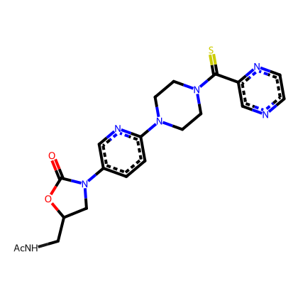 CC(=O)NCC1CN(c2ccc(N3CCN(C(=S)c4cnccn4)CC3)nc2)C(=O)O1